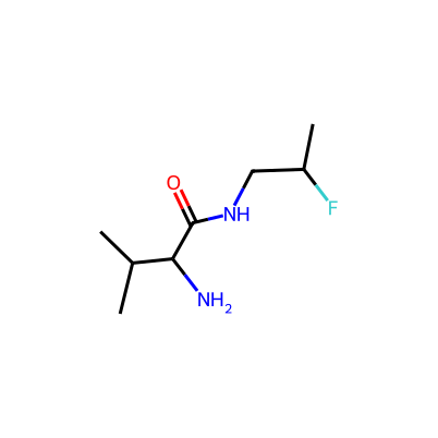 CC(F)CNC(=O)C(N)C(C)C